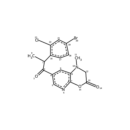 CC(C(=O)c1cnc2c(c1)N(C)CC(=O)O2)c1ccc(Br)cc1Cl